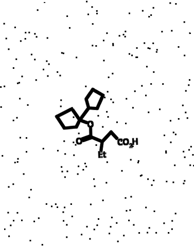 CCC(CC(=O)O)C(=O)OC1(C2CCCC2)CCCC1